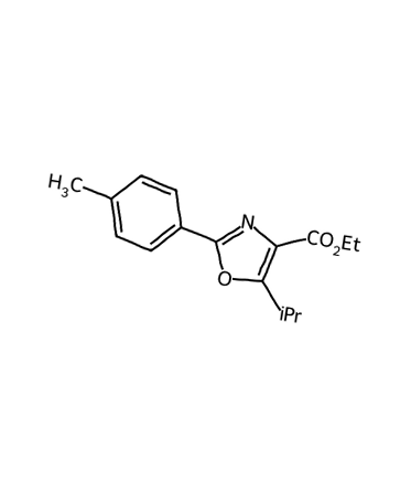 CCOC(=O)c1nc(-c2ccc(C)cc2)oc1C(C)C